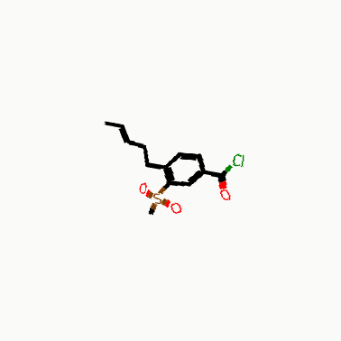 C/C=C/CCc1ccc(C(=O)Cl)cc1S(C)(=O)=O